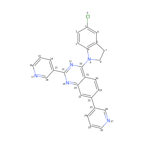 Clc1ccc2c(c1)CCN2c1nc(-c2cccnc2)nc2cc(-c3cccnc3)ccc12